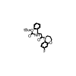 CC(C)(C)OC(=O)NC(CC(=O)N1CCCOc2cc(F)ccc21)c1ccccc1